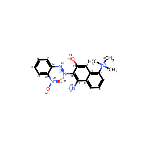 C[N+](C)(C)c1cccc2c(N)c(/N=N/c3ccccc3[N+](=O)[O-])c(O)cc12